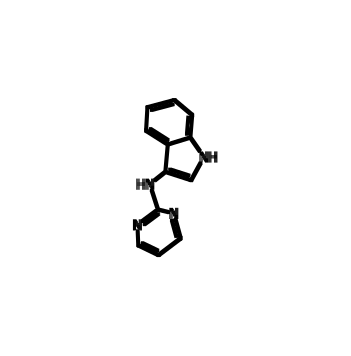 c1cnc(Nc2c[nH]c3ccccc23)nc1